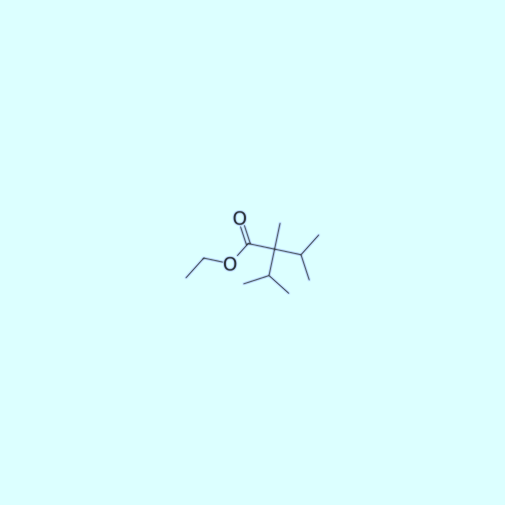 CCOC(=O)C(C)(C(C)C)C(C)C